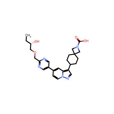 CC[C@H](O)COCc1ncc(-c2ccn3ncc(C4CCC5(CC4)CN(C(=O)O)C5)c3c2)cn1